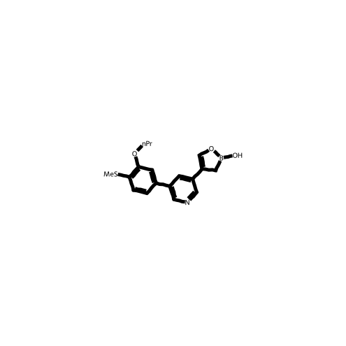 CCCOc1cc(-c2cncc(C3=COB(O)C3)c2)ccc1SC